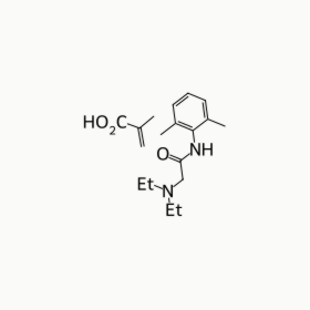 C=C(C)C(=O)O.CCN(CC)CC(=O)Nc1c(C)cccc1C